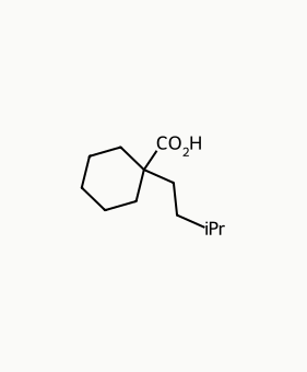 CC(C)CCC1(C(=O)O)CCCCC1